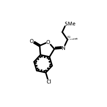 CSC[C@H](C)N=C1OC(=O)c2ccc(Cl)cc21